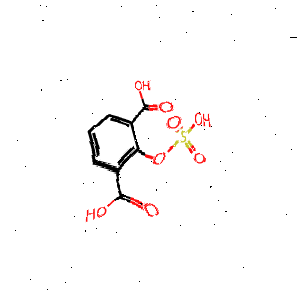 O=C(O)c1cccc(C(=O)O)c1OS(=O)(=O)O